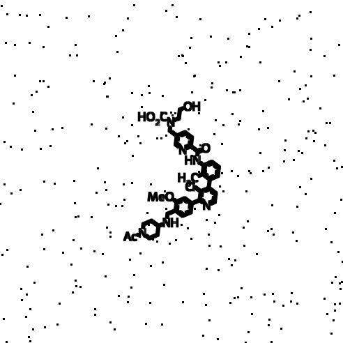 COc1cc(-c2nccc(-c3cccc(NC(=O)c4ccc(CN(CCO)C(=O)O)cn4)c3C)c2Cl)ccc1CNC1CCN(C(C)=O)CC1